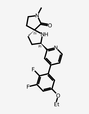 CCOc1cc(F)c(F)c(-c2ccnc([C@H]3CC[C@@]4(CCN(C)C4=O)N3)c2)c1